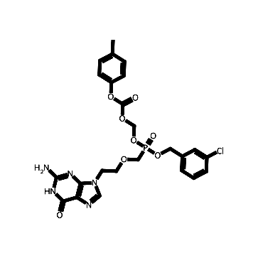 Cc1ccc(OC(=O)OCOP(=O)(COCCn2cnc3c(=O)[nH]c(N)nc32)OCc2cccc(Cl)c2)cc1